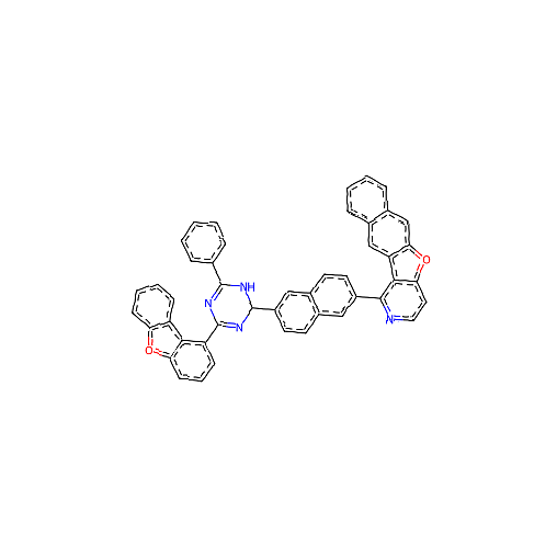 c1ccc(C2=NC(c3cccc4oc5ccccc5c34)=NC(c3ccc4cc(-c5nccc6oc7cc8ccccc8cc7c56)ccc4c3)N2)cc1